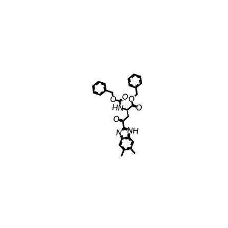 Cc1cc2nc(C(=O)C[C@@H](NC(=O)OCc3ccccc3)C(=O)OCc3ccccc3)[nH]c2cc1C